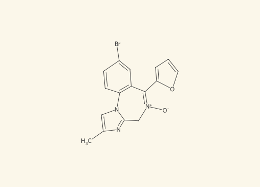 Cc1cn2c(n1)C[N+]([O-])=C(c1ccco1)c1cc(Br)ccc1-2